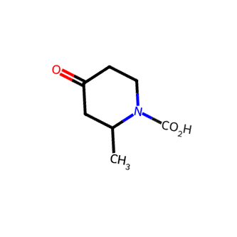 CC1CC(=O)CCN1C(=O)O